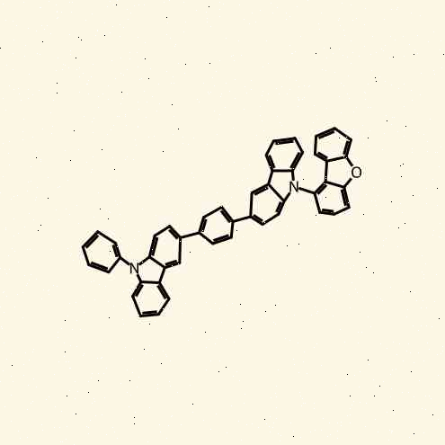 c1ccc(-n2c3ccccc3c3cc(-c4ccc(-c5ccc6c(c5)c5ccccc5n6-c5cccc6oc7ccccc7c56)cc4)ccc32)cc1